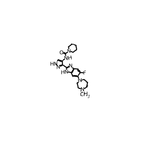 CN1CCCN(c2cc3[nH]c(-c4n[nH]cc4NC(=O)N4CCCCC4)nc3cc2F)CC1